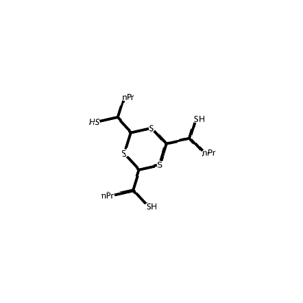 CCCC(S)C1SC(C(S)CCC)SC(C(S)CCC)S1